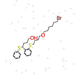 OCCCC(Sc1ccccc1)c1ccccc1SCCCCOCCCCCCBr